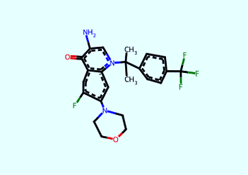 CC(C)(c1ccc(C(F)(F)F)cc1)n1cc(N)c(=O)c2cc(F)c(N3CCOCC3)cc21